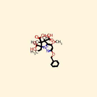 CCC1(C(=O)O)[n+]2nc(OCc3ccccc3)cc(OC)c2C(C)(C(=O)O)C1(C)C(=O)O